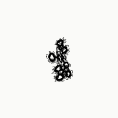 c1ccc(-c2nc(-c3ccc4c(c3)C3(c5ccccc5-c5ccccc53)c3ccccc3-4)nc(-c3cccc4c3oc3ccccc34)n2)cc1